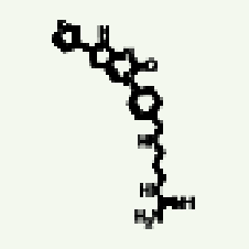 N=C(N)NCCCNCc1ccc(-n2cc3cc(-c4ccsc4)[nH]c3nc2=O)cc1